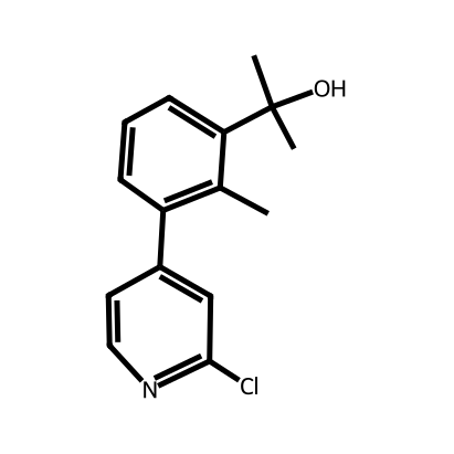 Cc1c(-c2ccnc(Cl)c2)cccc1C(C)(C)O